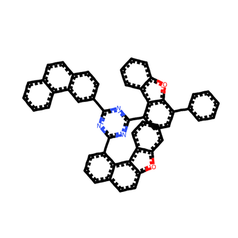 c1ccc(-c2ccc(-c3nc(-c4ccc5ccc6ccccc6c5c4)nc(-c4cccc5ccc6oc7ccccc7c6c45)n3)c3c2oc2ccccc23)cc1